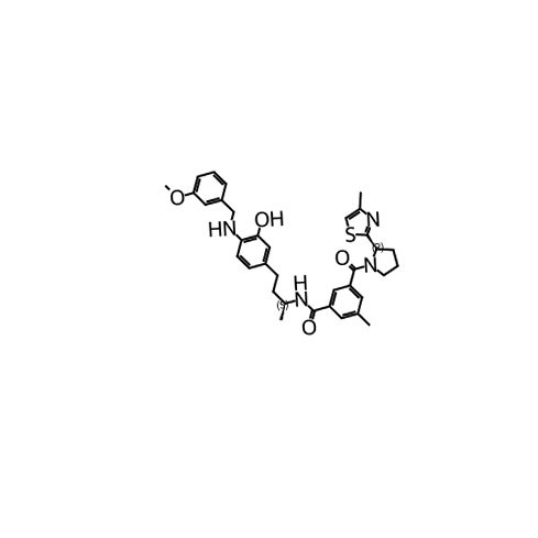 COc1cccc(CNc2ccc(CC[C@H](C)NC(=O)c3cc(C)cc(C(=O)N4CCC[C@@H]4c4nc(C)cs4)c3)cc2O)c1